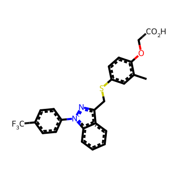 Cc1cc(SCc2nn(-c3ccc(C(F)(F)F)cc3)c3ccccc23)ccc1OCC(=O)O